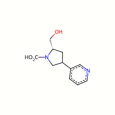 O=C(O)N1CC(c2cccnc2)C[C@H]1CO